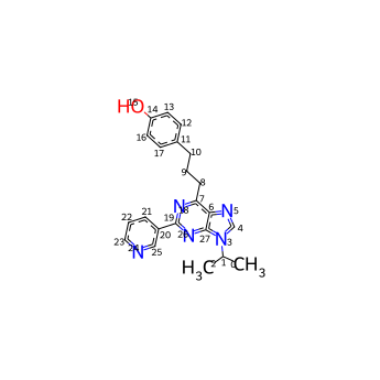 CC(C)n1cnc2c(CCCc3ccc(O)cc3)nc(-c3cccnc3)nc21